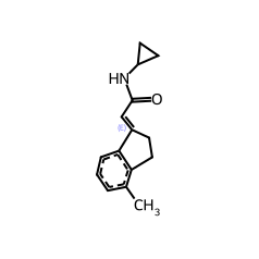 Cc1cccc2c1CC/C2=C\C(=O)NC1CC1